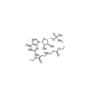 CCOC(=O)CCNCCC(=O)OCC.Nc1nc2c(ncn2[C@@H]2O[C@H](COP(N)(=O)O)[C@@H](O)[C@H]2O)c(=O)[nH]1